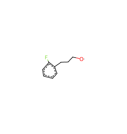 [O]CCCc1ccccc1F